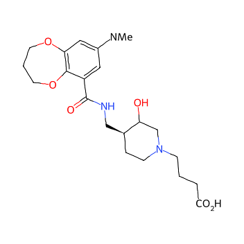 CNc1cc2c(c(C(=O)NC[C@@H]3CCN(CCCC(=O)O)CC3O)c1)OCCCO2